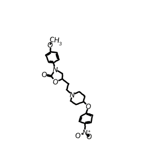 COc1ccc(N2CC(CCN3CCC(Oc4ccc([N+](=O)[O-])cc4)CC3)OC2=O)cc1